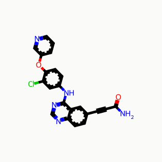 NC(=O)C#Cc1ccc2ncnc(Nc3ccc(Oc4cccnc4)c(Cl)c3)c2c1